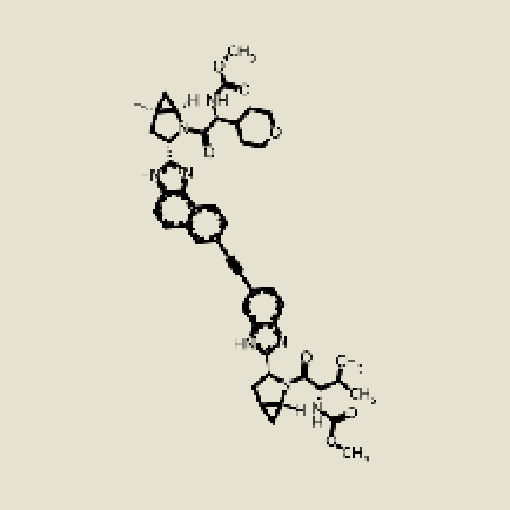 COC(=O)N[C@H](C(=O)N1[C@@H]2CC2C[C@H]1c1nc2ccc(C#Cc3ccc4c(ccc5[nH]c([C@@H]6C[C@H]7C[C@H]7N6C(=O)[C@@H](NC(=O)OC)C6CCOCC6)nc54)c3)cc2[nH]1)C(C)C